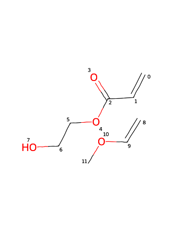 C=CC(=O)OCCO.C=COC